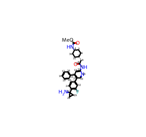 COC(=O)N[C@H]1CC[C@H](CC(=O)Nc2cc(-c3ccccc3)c(-c3ccc(C4(N)CC4)c(F)c3)cn2)CC1